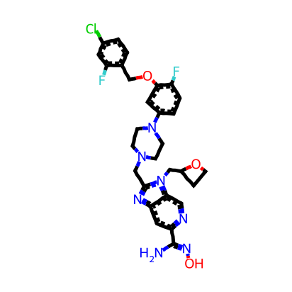 NC(=NO)c1cc2nc(CN3CCN(c4ccc(F)c(OCc5ccc(Cl)cc5F)c4)CC3)n(CC3CCO3)c2cn1